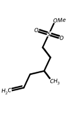 C=CCC(C)CCS(=O)(=O)OC